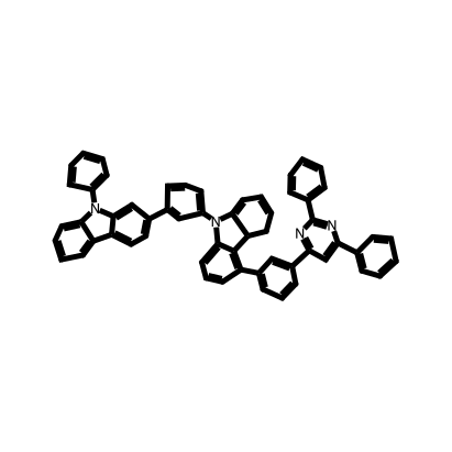 C1=CCC2C(=C1)N(c1cccc(-c3ccc4c5ccccc5n(-c5ccccc5)c4c3)c1)c1cccc(-c3cccc(-c4cc(-c5ccccc5)nc(-c5ccccc5)n4)c3)c12